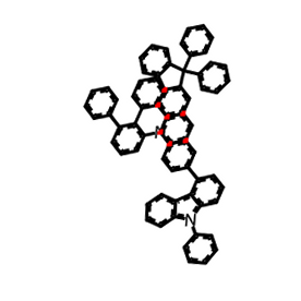 c1ccc(-c2ccccc2-c2c(-c3ccccc3)cccc2N(c2ccc(-c3cccc4c3c3ccccc3n4-c3ccccc3)cc2)c2ccc3c(c2)-c2ccccc2C3(c2ccccc2)c2ccccc2)cc1